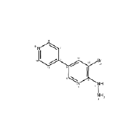 NNc1ncc(-c2ccncc2)cc1Br